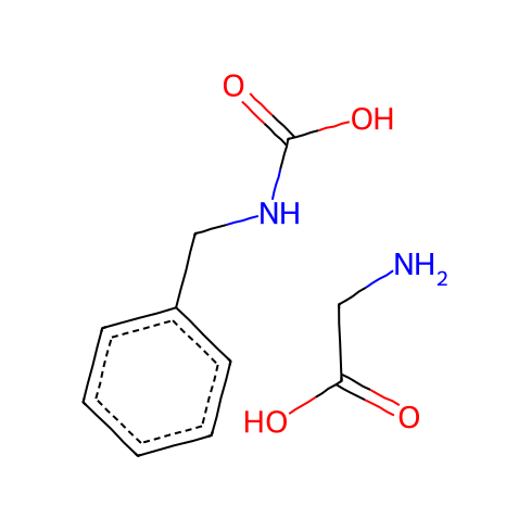 NCC(=O)O.O=C(O)NCc1ccccc1